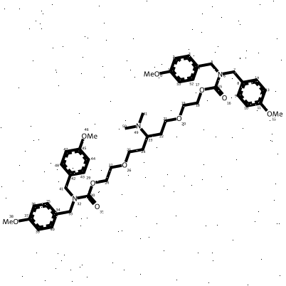 COc1ccc(CN(Cc2ccc(OC)cc2)C(=O)OCCOCCC(CCOCCOC(=O)N(Cc2ccc(OC)cc2)Cc2ccc(OC)cc2)N(C)C)cc1